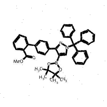 COC(=O)c1ccccc1-c1ccc(-c2nn(C(c3ccccc3)(c3ccccc3)c3ccccc3)cc2B2OC(C)(C)C(C)(C)O2)cc1